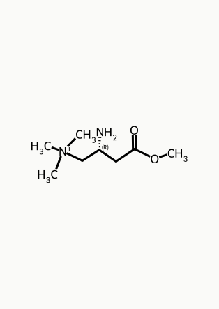 COC(=O)C[C@@H](N)C[N+](C)(C)C